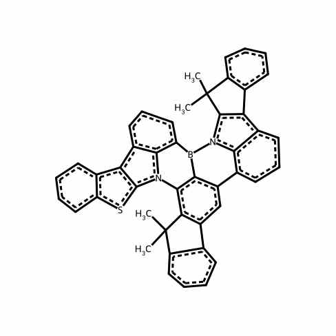 CC1(C)c2ccccc2-c2cc3c4c(c21)-n1c2sc5ccccc5c2c2cccc(c21)B4n1c2c(c4cccc-3c41)-c1ccccc1C2(C)C